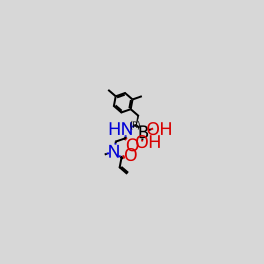 C=CC(=O)N(C)CC(=O)N[C@@H](Cc1ccc(C)cc1C)B(O)O